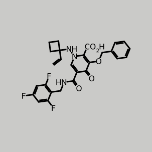 C=CC1(Nn2cc(C(=O)NCc3c(F)cc(F)cc3F)c(=O)c(OCc3ccccc3)c2C(=O)O)CCC1